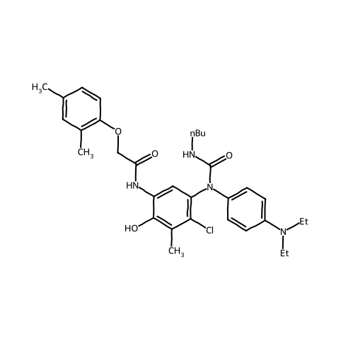 CCCCNC(=O)N(c1ccc(N(CC)CC)cc1)c1cc(NC(=O)COc2ccc(C)cc2C)c(O)c(C)c1Cl